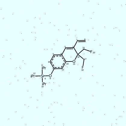 C=CC1=Cc2ccc(O[Si](C(C)C)(C(C)C)C(C)C)cc2OC1(CF)CF